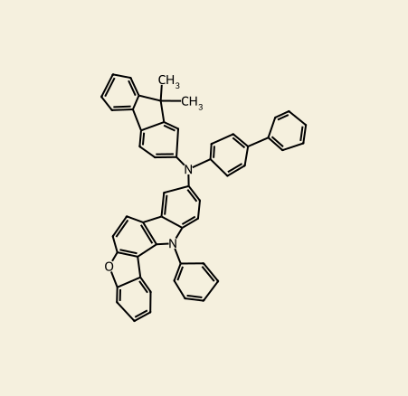 CC1(C)c2ccccc2-c2ccc(N(c3ccc(-c4ccccc4)cc3)c3ccc4c(c3)c3ccc5oc6ccccc6c5c3n4-c3ccccc3)cc21